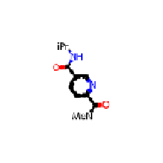 CNC(=O)c1ccc(C(=O)NC(C)C)cn1